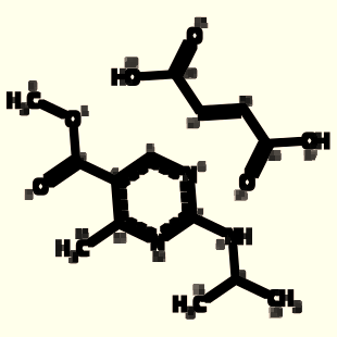 COC(=O)c1cnc(NC(C)C)nc1C.O=C(O)C=CC(=O)O